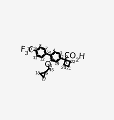 O=C(O)C1(c2ccc(-c3ccc(C(F)(F)F)cc3)c(OCC3CC3)c2)CCC1